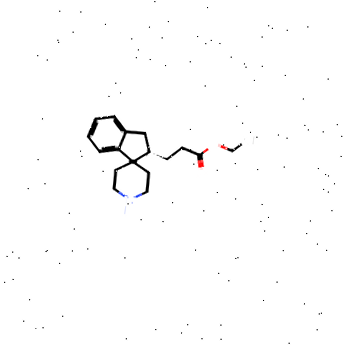 CCOC(=O)CC[C@@H]1Cc2ccccc2C12CCNCC2